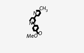 COC(=O)c1ccc([C@@H]2C=C(c3ccc(C)cn3)CC=N2)cc1